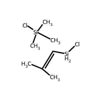 CC(C)=C[SiH2]Cl.C[Si](C)(C)Cl